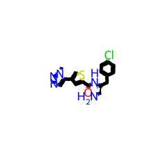 Cn1nncc1-c1csc(C(=O)N[C@H](CN)Cc2ccc(Cl)cc2)c1